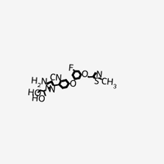 Cc1ncc(COc2cc(F)cc(Oc3ccc(-c4nn(C(CO)CO)c(N)c4C#N)cc3)c2)s1